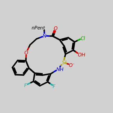 CCCCCN1CCOc2ccccc2-c2cc(c(F)cc2F)N[S+]([O-])c2cc(cc(Cl)c2O)C1=O